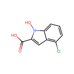 O=C(O)c1cc2c(Cl)cccc2n1O